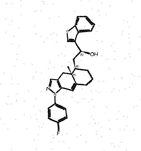 C[C@]12Cc3cnn(-c4ccc(F)cc4)c3C=C1CCC[C@@H]2C[C@H](O)c1csc2ccccc12